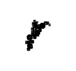 Cc1ccc(C(Oc2ccc(C(=O)N[C@H]3CCCN(C(=O)N[C@H]4COC(=O)C4)C3)nc2)C(C)NC(=O)C(F)(F)F)cc1